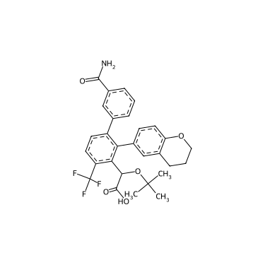 CC(C)(C)OC(C(=O)O)c1c(C(F)(F)F)ccc(-c2cccc(C(N)=O)c2)c1-c1ccc2c(c1)CCCO2